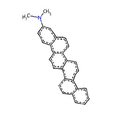 CN(C)c1ccc2c(ccc3c2ccc2c4ccc5ccccc5c4ccc32)c1